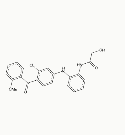 COc1ccccc1C(=O)c1ccc(Nc2ccccc2NC(=O)CO)cc1Cl